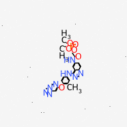 CCOP(=O)(OCC)OCC(=O)Nc1ccc2ncnc(Nc3ccc(Oc4cc5nncn5cn4)c(C)c3)c2c1